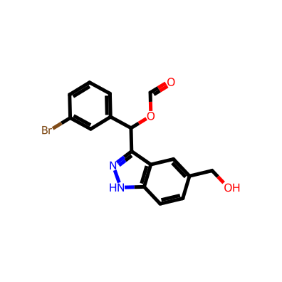 O=COC(c1cccc(Br)c1)c1n[nH]c2ccc(CO)cc12